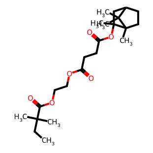 CCC(C)(C)C(=O)OCCOC(=O)CCC(=O)OC1(C)CC2CCC1(C)C2(C)C